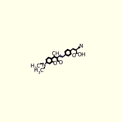 CCN(CC)c1ccc2c(C)c(/C=C/c3ccc(C=C(C#N)C(=O)O)cc3)c(=O)oc2c1